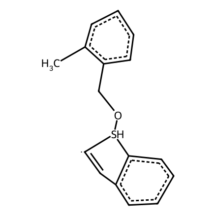 Cc1ccccc1CO[SH]1[C]=Cc2ccccc21